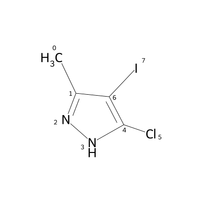 Cc1n[nH]c(Cl)c1I